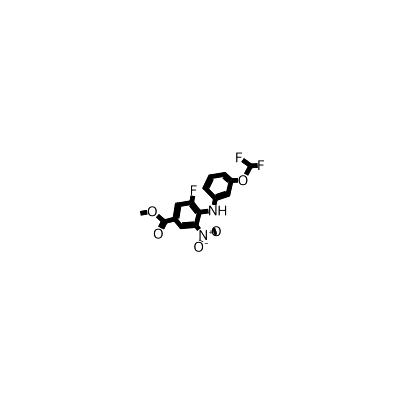 COC(=O)c1cc(F)c(Nc2cccc(OC(F)F)c2)c([N+](=O)[O-])c1